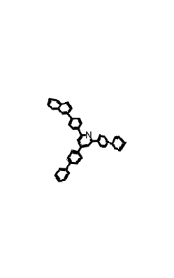 c1ccc(-c2ccc(-c3cc(-c4ccc(-c5ccccc5)cc4)nc(-c4ccc(-c5ccc6ccccc6c5)cc4)c3)cc2)cc1